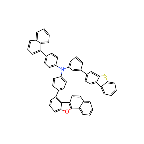 c1cc(-c2ccc3c(c2)sc2ccccc23)cc(N(c2ccc(-c3cccc4ccccc34)cc2)c2ccc(-c3cccc4oc5c6ccccc6ccc5c34)cc2)c1